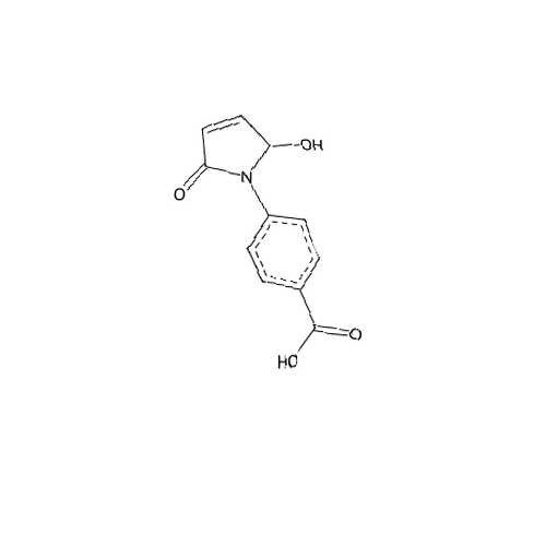 O=C(O)c1ccc(N2C(=O)C=CC2O)cc1